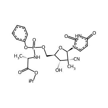 CC(C)OC(=O)[C@H](C)NP(=O)(OC[C@H]1O[C@@H](n2ccc(=O)[nH]c2=O)[C@](C)(C#N)[C@@H]1O)Oc1ccccc1